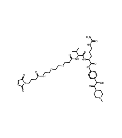 CC(C)[C@H](NC(=O)CCOCCOCCNC(=O)CCCN1C(=O)C=CC1=O)C(=O)N[C@@H](CCCNC(N)=O)C(=O)Nc1ccc(C(O)C(=O)N2CCN(C)CC2)cc1